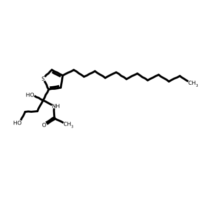 CCCCCCCCCCCCc1csc(C(O)(CCO)NC(C)=O)c1